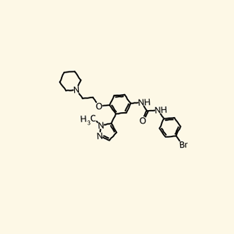 Cn1nccc1-c1cc(NC(=O)Nc2ccc(Br)cc2)ccc1OCCN1CCCCC1